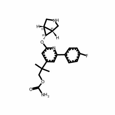 CC(C)(COC(N)=O)c1cc(O[C@@H]2[C@@H]3CNC[C@@H]32)nc(-c2ccc(F)cc2)c1